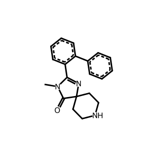 CN1C(=O)C2(CCNCC2)N=C1c1ccccc1-c1ccccc1